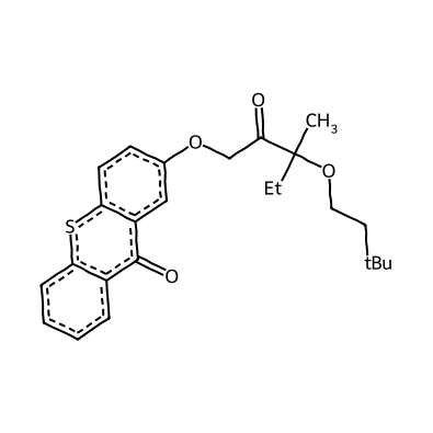 CCC(C)(OCCC(C)(C)C)C(=O)COc1ccc2sc3ccccc3c(=O)c2c1